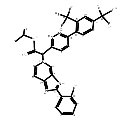 CC(C)OC(=O)C(c1ccc(-c2ccc(C(F)(F)F)cc2C(F)(F)F)nn1)n1ccc2nc(-c3ccccc3F)nc-2c1